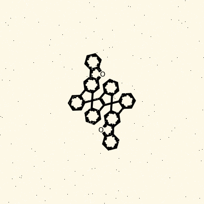 c1ccc2c(c1)C1=C(c3ccccc3C13c1ccccc1-c1cc4c(cc13)oc1ccccc14)C21c2ccccc2-c2cc3c(cc21)oc1ccccc13